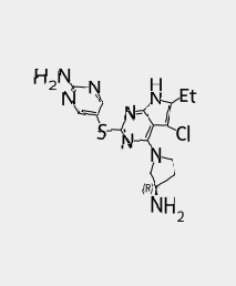 CCc1[nH]c2nc(Sc3cnc(N)nc3)nc(N3CC[C@@H](N)C3)c2c1Cl